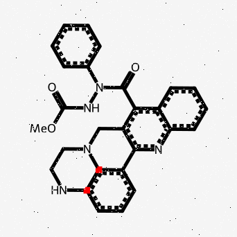 COC(=O)NN(C(=O)c1c(CN2CCNCC2)c(-c2ccccc2)nc2ccccc12)c1ccccc1